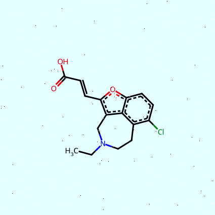 CCN1CCc2c(Cl)ccc3oc(/C=C/C(=O)O)c(c23)C1